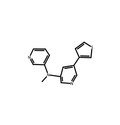 CN(c1cccnc1)c1cncc(-c2ccsc2)c1